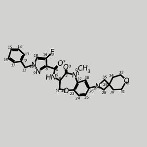 CN1C(=O)C(NC(=O)c2nn(Cc3ccccc3)cc2F)COc2ccc(N3CC4(CCOCC4)C3)cc21